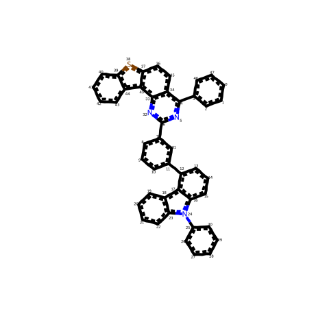 c1ccc(-c2nc(-c3cccc(-c4cccc5c4c4ccccc4n5-c4ccccc4)c3)nc3c2ccc2sc4ccccc4c23)cc1